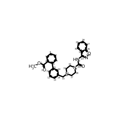 COC(=O)c1ccccc1-c1cccc(CN2CCN(C(=O)Nc3noc4ccccc34)CC2)c1